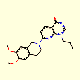 CCCn1cnc(=O)c2ccc(N3CCc4cc(OC)c(OC)cc4C3)nc21